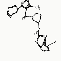 Cc1onc(-c2ccccc2)c1C(=O)N1CC[C@@H](CNc2nc3cccc(F)c3o2)C1